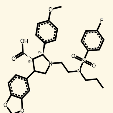 CCCN(CCN1CC(c2ccc3c(c2)OCO3)[C@H](C(=O)O)[C@H]1c1ccc(OC)cc1)S(=O)(=O)c1ccc(F)cc1